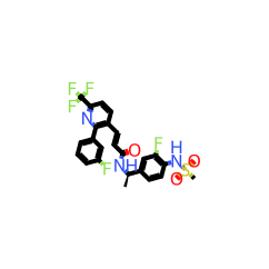 C[C@@H](NC(=O)C=Cc1ccc(C(F)(F)F)nc1-c1cccc(F)c1)c1ccc(NS(C)(=O)=O)c(F)c1